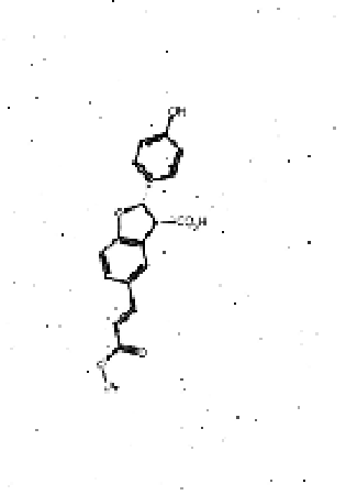 CC(C)OC(=O)/C=C/c1ccc2c(c1)[C@H](C(=O)O)[C@@H](c1ccc(O)cc1)O2